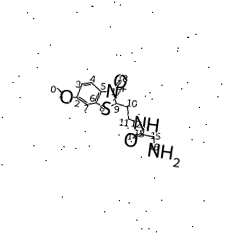 COc1ccc2c(c1)SC(CCNC(=O)CN)[N+]2=O